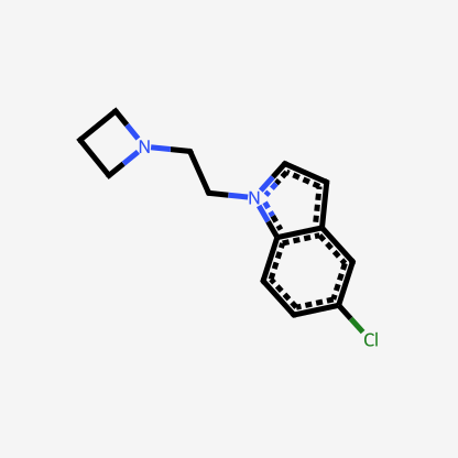 Clc1ccc2c(ccn2CCN2CCC2)c1